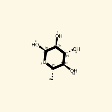 C[C@@H]1O[C@@H](O)[C@@H](O)[C@H](O)[C@H]1O